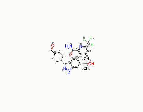 CC(C)(O)c1cc2[nH]nc(C3CCC(C=O)CC3)c2cc1-c1ccc(C(F)(F)F)nc1C(N)=O